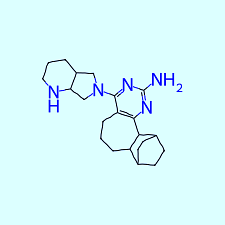 Nc1nc2c(c(N3CC4CCCNC4C3)n1)CCCC1C3CCC(CC3)C21